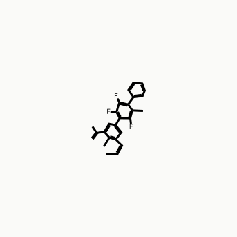 C=C(C)c1cc(-c2c(F)c(C)c(-c3ccccc3)c(F)c2F)cc(/C=C\C)c1C